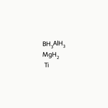 B.[AlH3].[MgH2].[Ti]